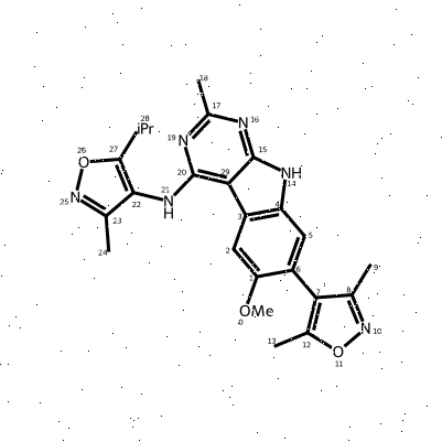 COc1cc2c(cc1-c1c(C)noc1C)[nH]c1nc(C)nc(Nc3c(C)noc3C(C)C)c12